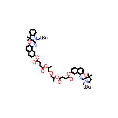 CC(COCC(C)OC(=O)CCC(=O)Oc1ccc2ccc3c(c2c1)N=CC1(O3)N(CC(C)(C)C)c2ccccc2C1(C)C)OC(=O)CCC(=O)Oc1ccc2ccc3c(c2c1)N=CC1(O3)N(CC(C)(C)C)CCC1(C)C